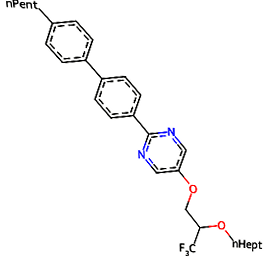 CCCCCCCOC(COc1cnc(-c2ccc(-c3ccc(CCCCC)cc3)cc2)nc1)C(F)(F)F